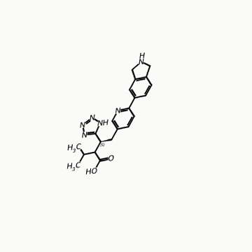 CC(C)C(C(=O)O)[C@H](Cc1ccc(-c2ccc3c(c2)CNC3)nc1)c1nnn[nH]1